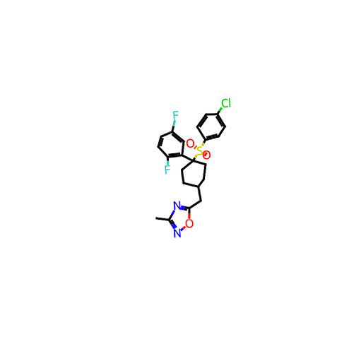 Cc1noc(CC2CCC(c3cc(F)ccc3F)(S(=O)(=O)c3ccc(Cl)cc3)CC2)n1